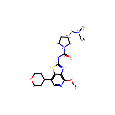 COc1ncc(C2CCOCC2)c2sc(NC(=O)N3CC[C@H](CN(C)C)C3)nc12